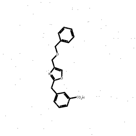 O=C(O)c1cccc(Cc2nc(COCc3ccccc3)co2)c1